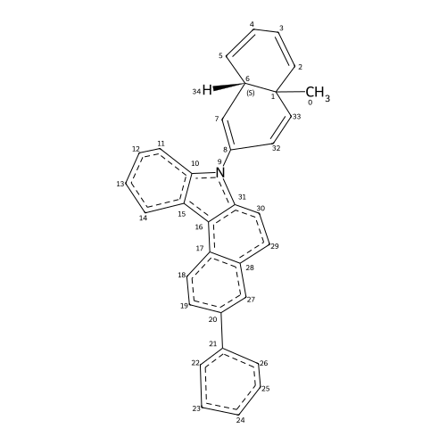 CC12C=CC=C[C@H]1C=C(n1c3ccccc3c3c4ccc(-c5ccccc5)cc4ccc31)C=C2